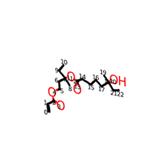 C=CC(=O)OCCC(C)(CC)OC(=O)CCCCC(C)(O)CC